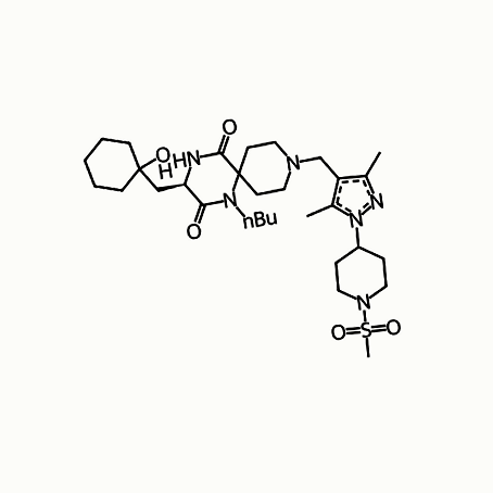 CCCCN1C(=O)[C@@H](CC2(O)CCCCC2)NC(=O)C12CCN(Cc1c(C)nn(C3CCN(S(C)(=O)=O)CC3)c1C)CC2